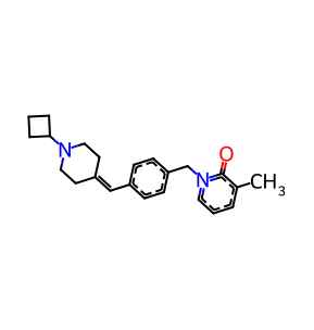 Cc1cccn(Cc2ccc(C=C3CCN(C4CCC4)CC3)cc2)c1=O